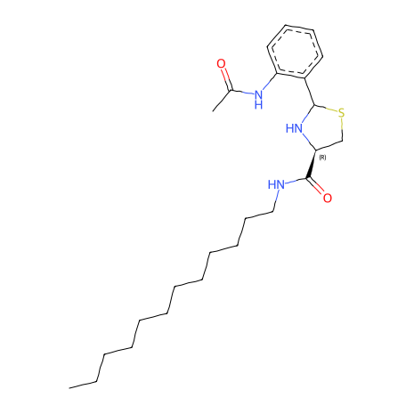 CCCCCCCCCCCCNC(=O)[C@@H]1CSC(c2ccccc2NC(C)=O)N1